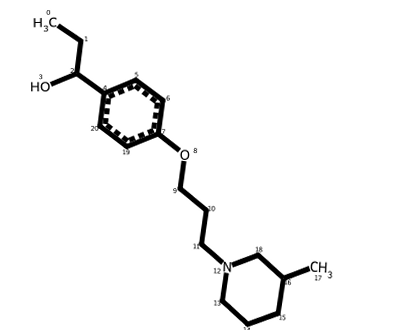 CCC(O)c1ccc(OCCCN2CCCC(C)C2)cc1